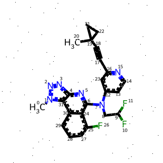 Cn1nnc2nc(N(CC(F)F)c3ccnc(C#CC4(C)CC4)c3)c3c(F)cccc3c21